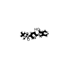 CN(C(C)(C)C)S(=O)(=O)c1ccc(-n2nc3c(c2O)CSC3)nc1